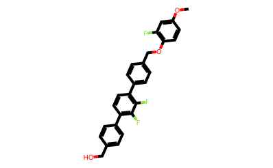 COc1ccc(OCc2ccc(-c3ccc(-c4ccc(CO)cc4)c(F)c3F)cc2)c(F)c1